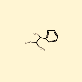 CC(C=O)C(c1ccccc1)C(C)(C)C